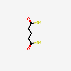 O=C(S)CCCC(=O)S